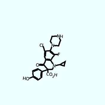 O=C(O)C1(c2ccc(O)cc2)CN(C2CC2)c2c(cc(Cl)c(N3CCNCC3)c2F)C1=O